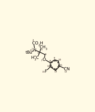 CC(C)(C)N(C(=O)O)C(C)(C)COc1ccc(C#N)cc1F